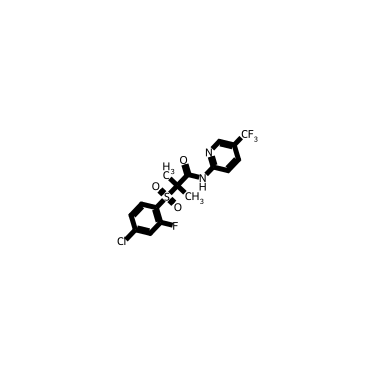 CC(C)(C(=O)Nc1ccc(C(F)(F)F)cn1)S(=O)(=O)c1ccc(Cl)cc1F